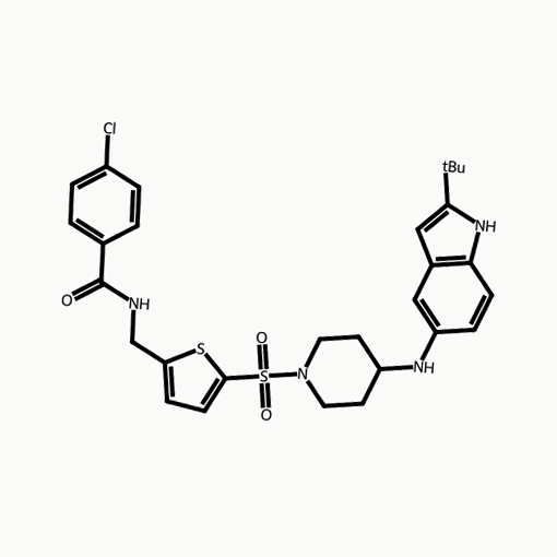 CC(C)(C)c1cc2cc(NC3CCN(S(=O)(=O)c4ccc(CNC(=O)c5ccc(Cl)cc5)s4)CC3)ccc2[nH]1